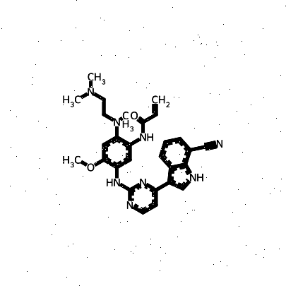 C=CC(=O)Nc1cc(Nc2nccc(-c3c[nH]c4c(C#N)cccc34)n2)c(OC)cc1N(C)CCN(C)C